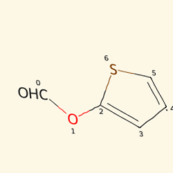 O=COc1c[c]cs1